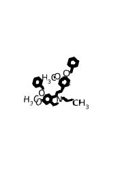 CCCCN1CCc2cc(OC)c(OCc3ccccc3)cc2C1C=Cc1ccc(OCc2ccccc2)c(OC)c1